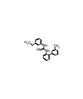 CCc1cccc(NC(=N)Nc2ccccc2-c2cccc(C)c2)c1